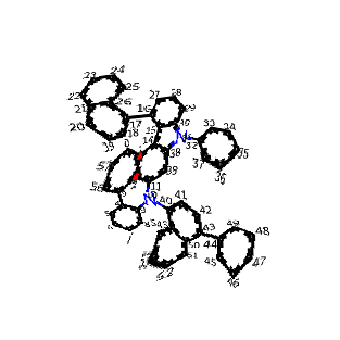 c1ccc(-c2ccccc2N(c2ccc3c4c(-c5cccc6ccccc56)cccc4n(-c4ccccc4)c3c2)c2ccc(-c3ccccc3)c3ccccc23)cc1